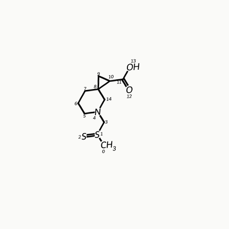 CS(=S)CN1CCCC2(CC2C(=O)O)C1